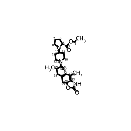 CCOC(=O)[C@@H]1CCCN1C1CCN(C(=O)[C@H](C)Cc2cc(C)c3[nH]c(=O)oc3c2)CC1